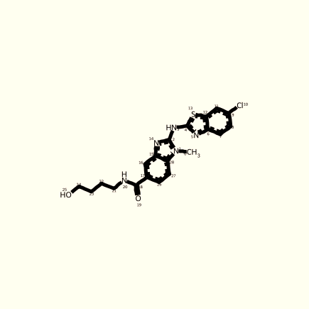 Cn1c(Nc2nc3ccc(Cl)cc3s2)nc2cc(C(=O)NCCCCO)ccc21